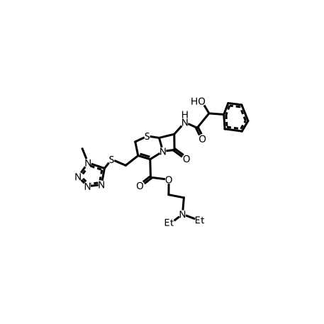 CCN(CC)CCOC(=O)C1=C(CSc2nnnn2C)CSC2C(NC(=O)C(O)c3ccccc3)C(=O)N12